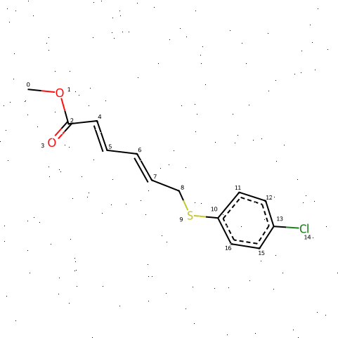 COC(=O)C=CC=CCSc1ccc(Cl)cc1